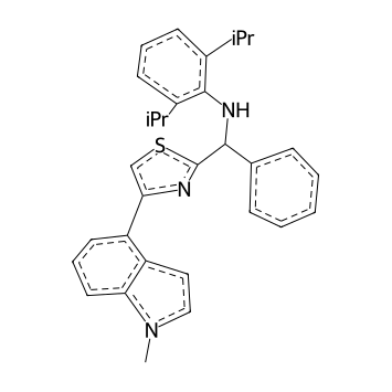 CC(C)c1cccc(C(C)C)c1NC(c1ccccc1)c1nc(-c2cccc3c2ccn3C)cs1